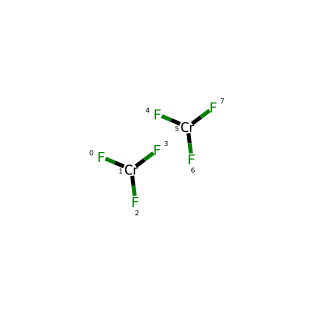 [F][Cr]([F])[F].[F][Cr]([F])[F]